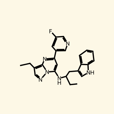 CCc1cnn2c(NC(CC)Cc3c[nH]c4ccccc34)cc(-c3cncc(F)c3)nc12